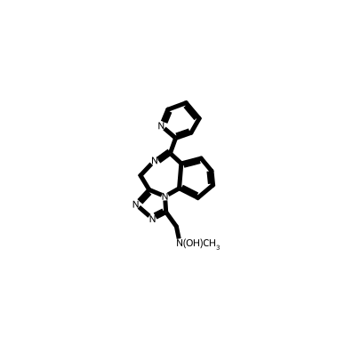 CN(O)Cc1nnc2n1-c1ccccc1C(c1ccccn1)=NC2